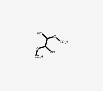 CCCC(OC(=O)O)C(CCC)OC(=O)O